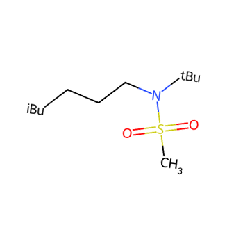 CCC(C)CCCN(C(C)(C)C)S(C)(=O)=O